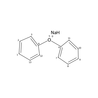 [NaH].c1ccc(Oc2ccccc2)cc1